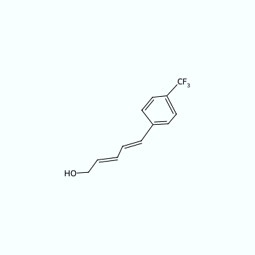 OCC=CC=Cc1ccc(C(F)(F)F)cc1